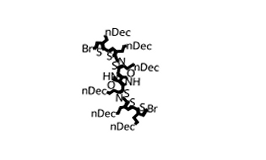 CCCCCCCCCCCCc1cc(Br)sc1-c1cc(CCCCCCCCCCCC)c(-c2nc(CCCCCCCCCCCC)c(C3=C4C(=O)NC(c5sc(-c6sc(-c7sc(Br)cc7CCCCCCCCCCCC)cc6CCCCCCCCCCCC)nc5CCCCCCCCCCCC)=C4C(=O)N3)s2)s1